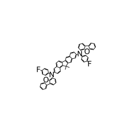 CC1(C)c2cc3cc(N(c4ccc(F)cc4)c4cccc5c4oc4ccccc45)ccc3cc2-c2ccc3cc(N(c4ccc(F)cc4)c4cccc5c4oc4ccccc45)ccc3c21